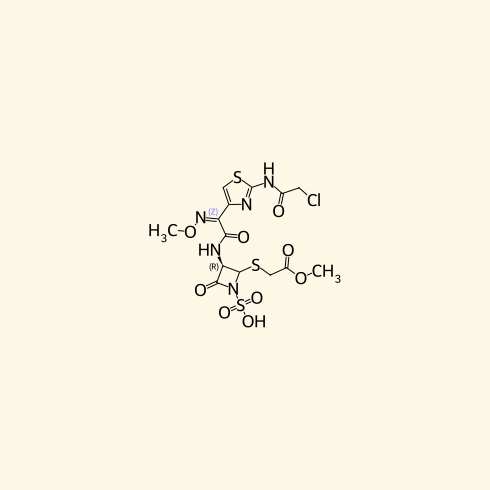 CO/N=C(\C(=O)N[C@@H]1C(=O)N(S(=O)(=O)O)C1SCC(=O)OC)c1csc(NC(=O)CCl)n1